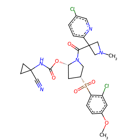 COc1ccc(S(=O)(=O)[C@@H]2C[C@H](OC(=O)NC3(C#N)CC3)N(C(=O)C3(c4ccc(Cl)cn4)CN(C)C3)C2)c(Cl)c1